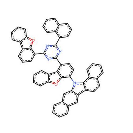 c1ccc2cc3c(cc2c1)c1ccc2ccccc2c1n3-c1ccc(-c2nc(-c3cccc4ccccc34)nc(-c3cccc4c3oc3ccccc34)n2)c2c1oc1ccccc12